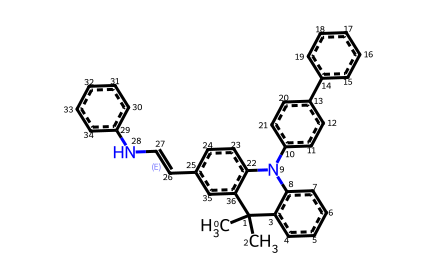 CC1(C)c2ccccc2N(c2ccc(-c3ccccc3)cc2)c2ccc(/C=C/Nc3ccccc3)cc21